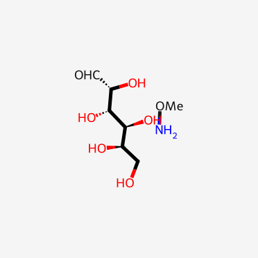 CON.O=C[C@H](O)[C@@H](O)[C@@H](O)[C@H](O)CO